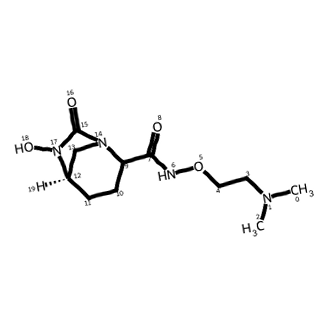 CN(C)CCONC(=O)C1CC[C@@H]2CN1C(=O)N2O